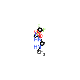 O=C(NCc1cccc(NCCC(F)(F)F)c1)C1CCCN1S(=O)(=O)c1cc(F)cc(F)c1